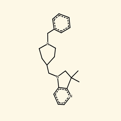 CC1(C)CN(CC2CCN(Cc3ccccc3)CC2)c2cccnc21